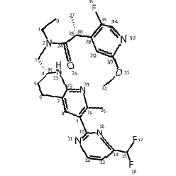 CCN(C[C@H]1CCc2cc(-c3nccc(C(F)F)n3)c(C)nc2N1)C(=O)[C@H](C)c1cc(OC)ncc1F